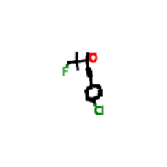 CC(C)(CF)C1(C#Cc2ccc(Cl)cc2)CO1